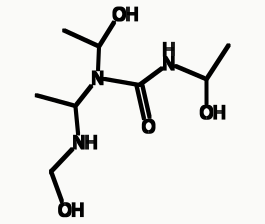 CC(O)NC(=O)N(C(C)O)C(C)NCO